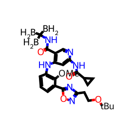 BC(B)(B)NC(=O)c1cnc(NC(=O)C2CC2)cc1Nc1cccc(-c2nc(CCOC(C)(C)C)no2)c1OC